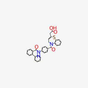 O=C(O)CC1=CCN(C(=O)c2ccc(NC(=O)c3ccccc3-c3ccccc3)cc2)c2ccccc2S1